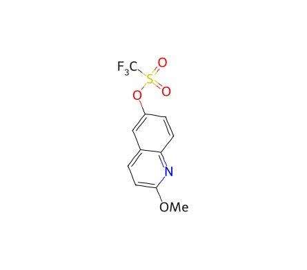 COc1ccc2cc(OS(=O)(=O)C(F)(F)F)ccc2n1